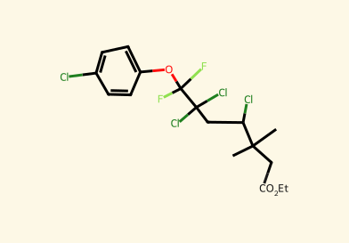 CCOC(=O)CC(C)(C)C(Cl)CC(Cl)(Cl)C(F)(F)Oc1ccc(Cl)cc1